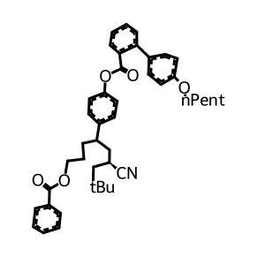 CCCCCOc1ccc(-c2ccccc2C(=O)Oc2ccc(C(CCCOC(=O)c3ccccc3)C[C@@H](C#N)CC(C)(C)C)cc2)cc1